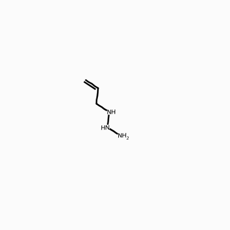 C=CCNNN